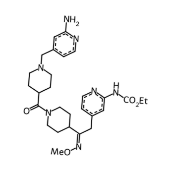 CCOC(=O)Nc1cc(C/C(=N/OC)C2CCN(C(=O)C3CCN(Cc4ccnc(N)c4)CC3)CC2)ccn1